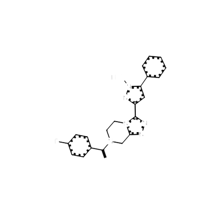 Cn1nc(-c2nnc3n2CCN(C(=O)c2ccc(F)cc2)C3)cc1-c1ccccc1